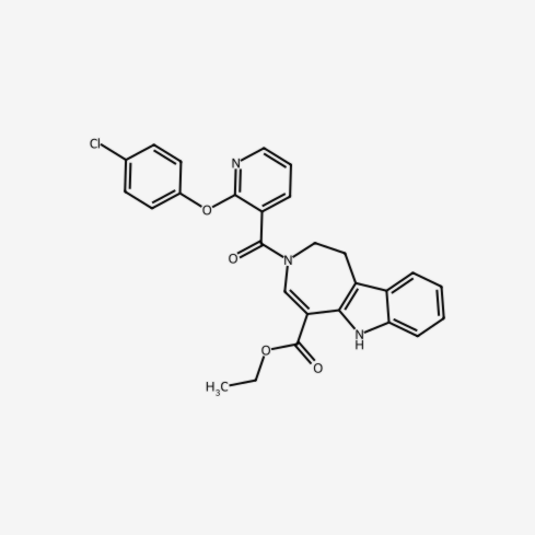 CCOC(=O)C1=CN(C(=O)c2cccnc2Oc2ccc(Cl)cc2)CCc2c1[nH]c1ccccc21